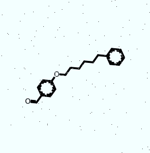 O=Cc1ccc(OCCCCCCc2ccccc2)cc1